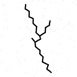 CCCCCCCCC(C)[CH]C(CCCC)CCCCCCCC